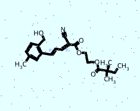 CCC(C)(C)C(=O)OCCOC(=O)/C(C#N)=C/C=C/c1cc(C)ccc1CO